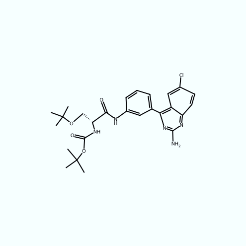 CC(C)(C)OC[C@@H](NC(=O)OC(C)(C)C)C(=O)Nc1cccc(-c2nc(N)nc3ccc(Cl)cc23)c1